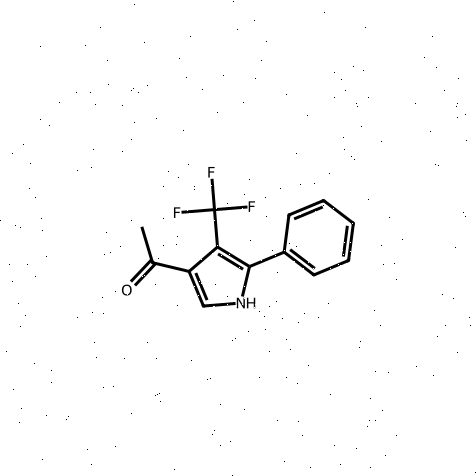 CC(=O)c1c[nH]c(-c2ccccc2)c1C(F)(F)F